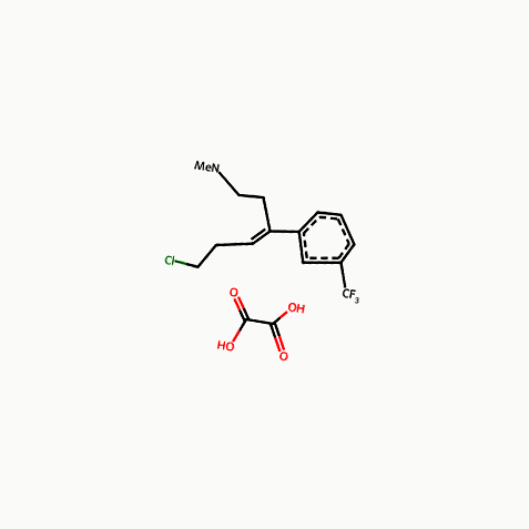 CNCCC(=CCCCl)c1cccc(C(F)(F)F)c1.O=C(O)C(=O)O